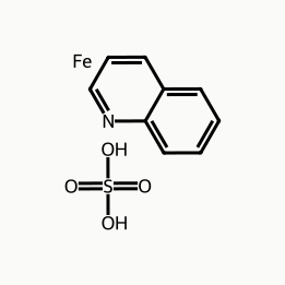 O=S(=O)(O)O.[Fe].c1ccc2ncccc2c1